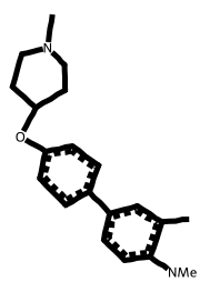 CNc1ccc(-c2ccc(OC3CCN(C)CC3)cc2)cc1C